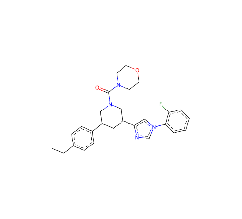 CCc1ccc(C2CC(c3cn(-c4ccccc4F)cn3)CN(C(=O)N3CCOCC3)C2)cc1